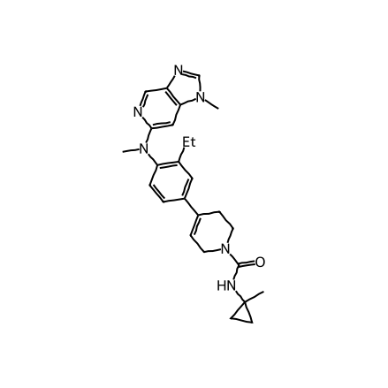 CCc1cc(C2=CCN(C(=O)NC3(C)CC3)CC2)ccc1N(C)c1cc2c(cn1)ncn2C